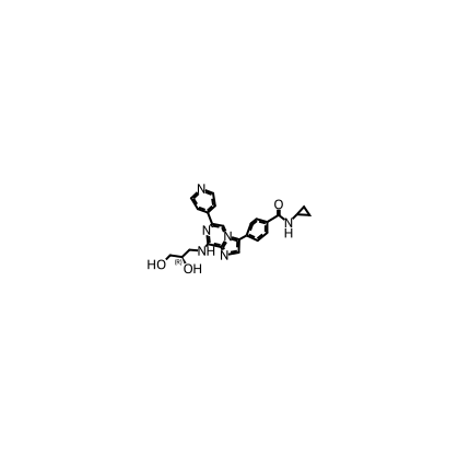 O=C(NC1CC1)c1ccc(-c2cnc3c(NC[C@@H](O)CO)nc(-c4ccncc4)cn23)cc1